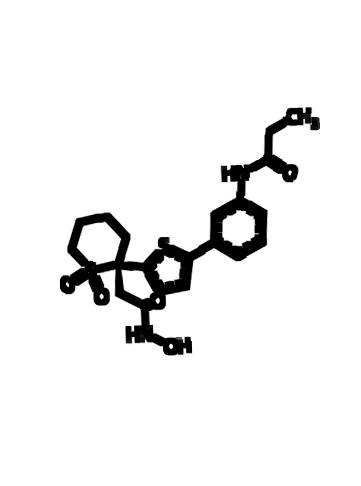 CCC(=O)Nc1cccc(-c2ccc([C@@]3(CC(=O)NO)CCCCS3(=O)=O)s2)c1